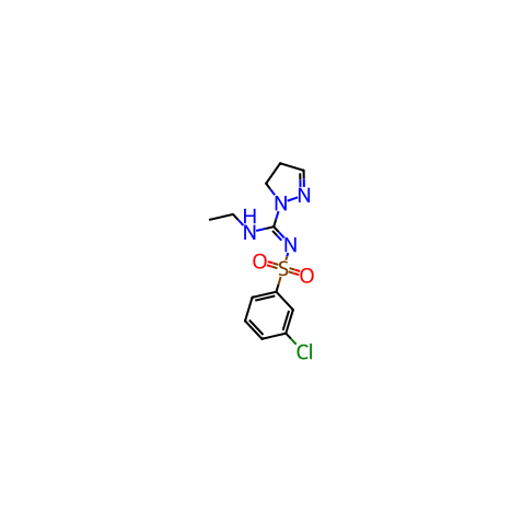 CCN/C(=N\S(=O)(=O)c1cccc(Cl)c1)N1CCC=N1